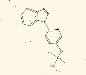 CC(C)(O)Oc1ccc(-n2nnc3ccccc32)cc1